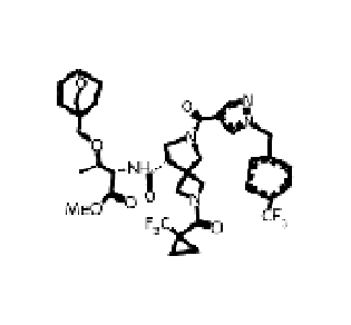 COC(=O)[C@@H](NC(=O)[C@@H]1CN(C(=O)c2cnn(Cc3ccc(C(F)(F)F)cc3)c2)CC12CN(C(=O)C1(C(F)(F)F)CC1)C2)[C@@H](C)OCC12CCC(CC1)OC2